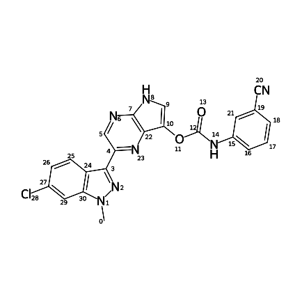 Cn1nc(-c2cnc3[nH]cc(OC(=O)Nc4cccc(C#N)c4)c3n2)c2ccc(Cl)cc21